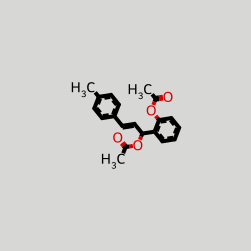 CC(=O)Oc1ccccc1C(C=Cc1ccc(C)cc1)OC(C)=O